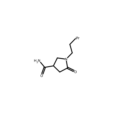 CC(C)CCN1CC(C(N)=O)CC1=O